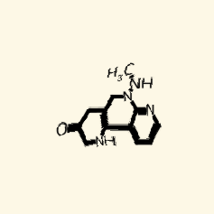 CNN1CC2=C(NCC(=O)C2)c2cccnc21